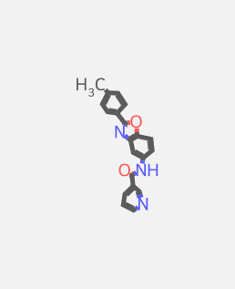 Cc1ccc(-c2nc3cc(NC(=O)c4cccnc4)ccc3o2)cc1